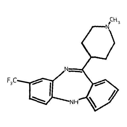 CN1CCC(C2=Nc3cc(C(F)(F)F)ccc3Nc3ccccc32)CC1